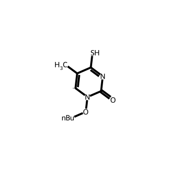 CCCCOn1[c]c(C)c(S)nc1=O